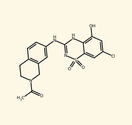 CC(=O)N1CCc2ccc(NC3=NS(=O)(=O)c4cc(Cl)cc(O)c4N3)cc2C1